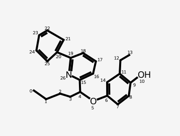 CCCCC(Oc1ccc(O)c(CC)c1)c1cccc(-c2ccccc2)n1